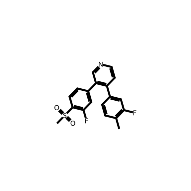 Cc1ccc(-c2ccncc2-c2ccc(S(C)(=O)=O)c(F)c2)cc1F